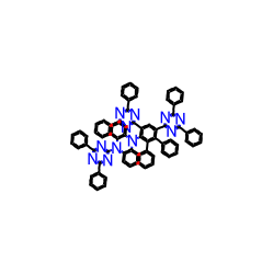 c1ccc(-c2nc(-c3ccccc3)nc(-c3cc(-c4nc(-c5ccccc5)nc(-c5ccccc5)n4)c(N4c5ccccc5N(c5nc(-c6ccccc6)nc(-c6ccccc6)n5)c5ccccc54)c(-c4ccccc4)c3-c3ccccc3)n2)cc1